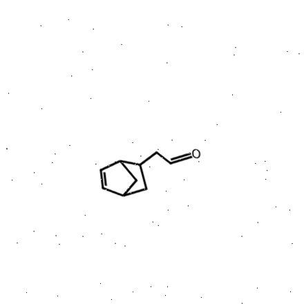 O=CCC1CC2C=CC1C2